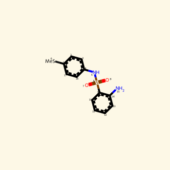 CSc1ccc(NS(=O)(=O)c2ccccc2N)cc1